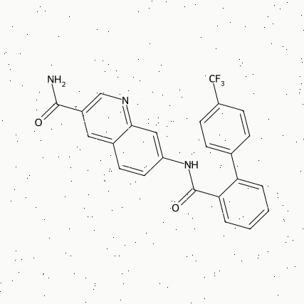 NC(=O)c1cnc2cc(NC(=O)c3ccccc3-c3ccc(C(F)(F)F)cc3)ccc2c1